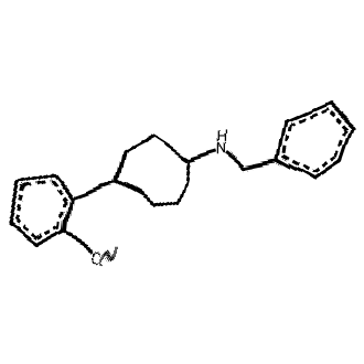 N#Cc1ccccc1C1CCC(NCc2ccccc2)CC1